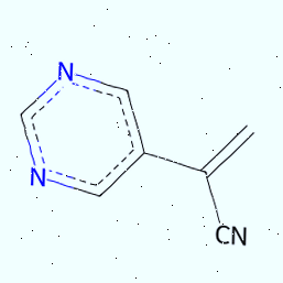 C=C(C#N)c1cncnc1